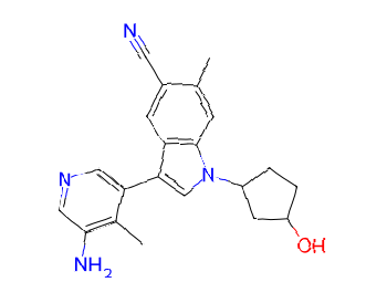 Cc1cc2c(cc1C#N)c(-c1cncc(N)c1C)cn2C1CCC(O)C1